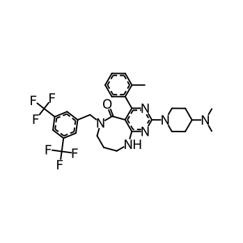 Cc1ccccc1-c1nc(N2CCC(N(C)C)CC2)nc2c1C(=O)N(Cc1cc(C(F)(F)F)cc(C(F)(F)F)c1)CCCN2